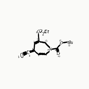 CCOC(=O)C1=CC(=C=O)C=CN(C(=O)OC(C)(C)C)C1